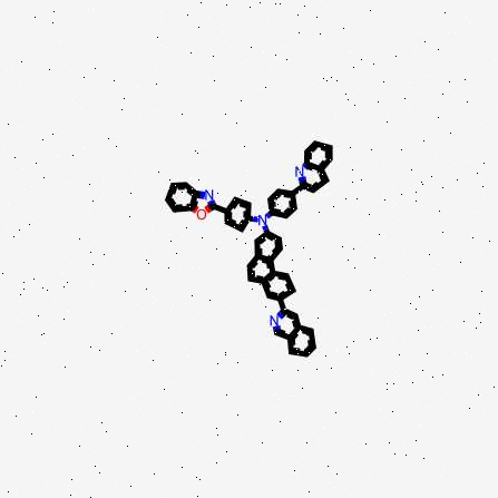 c1ccc2cc(-c3ccc4c(ccc5cc(N(c6ccc(-c7ccc8ccccc8n7)cc6)c6ccc(-c7nc8ccccc8o7)cc6)ccc54)c3)ncc2c1